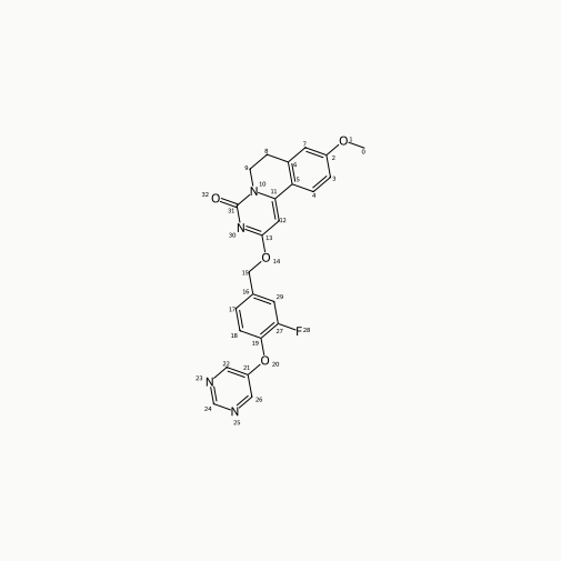 COc1ccc2c(c1)CCn1c-2cc(OCc2ccc(Oc3cncnc3)c(F)c2)nc1=O